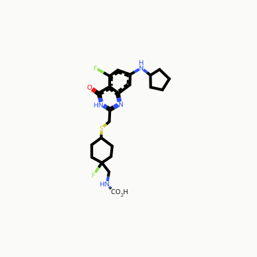 O=C(O)NCC1(F)CCC(SCc2nc3cc(NC4CCCC4)cc(F)c3c(=O)[nH]2)CC1